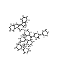 c1ccc(-c2ccc(N(c3ccc(-c4cc5c6ccccc6sc5c5c4oc4ccccc45)cc3)c3ccc4c(c3)C3(c5ccccc5-c5ccccc53)c3ccccc3-4)cc2)cc1